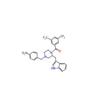 O=C(c1cc(C(F)(F)F)cc(C(F)(F)F)c1)N1CCN(Cc2ccc([N+](=O)[O-])cc2)CC1Cc1c[nH]c2ccccc12